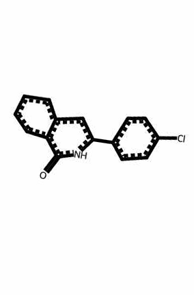 O=c1[nH]c(-c2ccc(Cl)cc2)cc2ccccc12